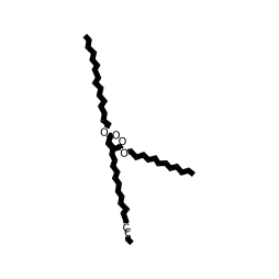 CCCCCCCCCCCCCCCCOC(=O)C=C(CCCCCCCCCCCCCCCC)C(=O)OCCCCCCCCCCCC